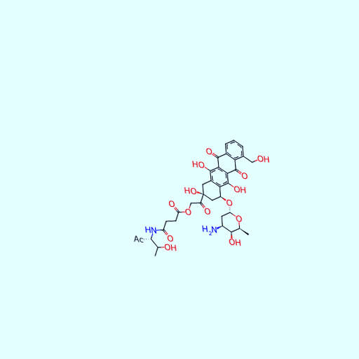 CC(=O)[C@H](NC(=O)CCC(=O)OCC(=O)[C@]1(O)Cc2c(O)c3c(c(O)c2[C@@H](O[C@H]2C[C@H](N)[C@H](O)[C@H](C)O2)C1)C(=O)c1c(CO)cccc1C3=O)C(C)O